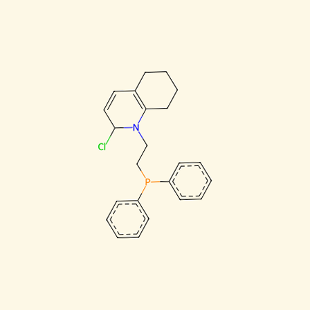 ClC1C=CC2=C(CCCC2)N1CCP(c1ccccc1)c1ccccc1